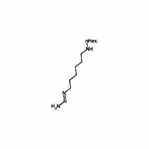 CCCCCCNCCCCCCN=NN